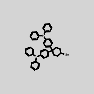 CC(C)(C)C1CCC(c2ccc(N(c3ccccc3)c3ccccc3)cc2)(c2ccc(N(c3ccccc3)c3ccccc3)cc2)CC1